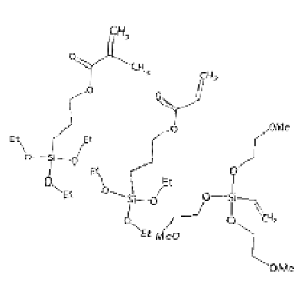 C=C(C)C(=O)OCCC[Si](OCC)(OCC)OCC.C=CC(=O)OCCC[Si](OCC)(OCC)OCC.C=C[Si](OCCOC)(OCCOC)OCCOC